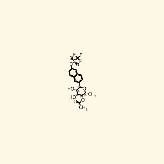 CC(=O)O[C@@H]1[C@H](O)[C@H](O)[C@@H](c2ccc3cc(OS(=O)(=O)C(F)(F)F)ccc3c2)O[C@@H]1C